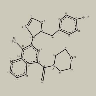 O=C(c1nc(N2N=COC2Cc2ccc(F)cc2)c(O)c2ncccc12)N1CCOCC1